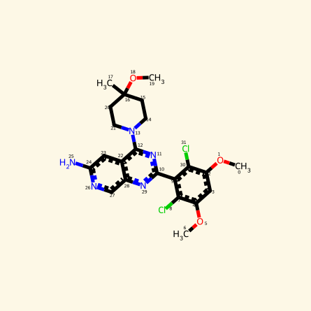 COc1cc(OC)c(Cl)c(-c2nc(N3CCC(C)(OC)CC3)c3cc(N)ncc3n2)c1Cl